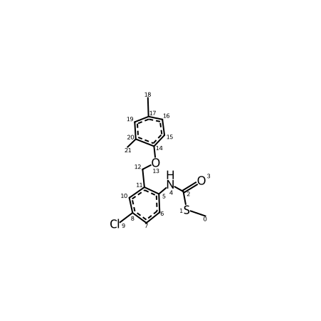 CSC(=O)Nc1ccc(Cl)cc1COc1ccc(C)cc1C